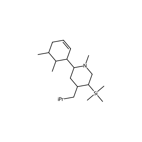 CC(C)CC1CC(C2C=CCC(C)C2C)N(C)CC1[Si](C)(C)C